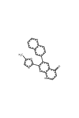 Cc1cnc(-c2nc3[nH]ccc(=O)c3cc2-c2ccc3ncccc3c2)o1